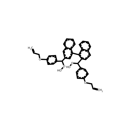 C=CCOc1ccc(C(OO)c2cc(-c3c(C(OO)c4ccc(OCC=C)cc4)ccc4ccccc34)c3ccccc3c2)cc1